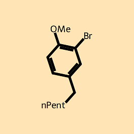 CCCCCCc1ccc(OC)c(Br)c1